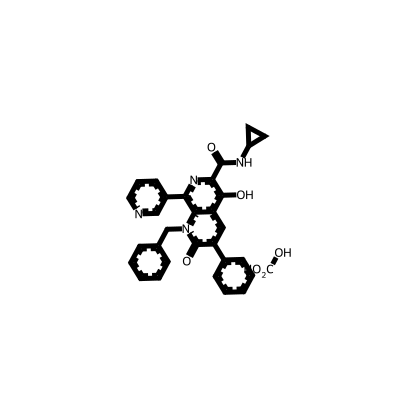 O=C(NC1CC1)c1nc(-c2cccnc2)c2c(cc(-c3ccccc3)c(=O)n2Cc2ccccc2)c1O.O=C(O)O